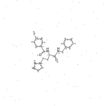 O=C(NC(CCn1ccnn1)C(=O)NCc1ccccc1)c1ccc(F)cc1